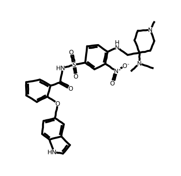 CN1CCC(CNc2ccc(S(=O)(=O)NC(=O)c3ccccc3Oc3ccc4[nH]ccc4c3)cc2[N+](=O)[O-])(N(C)C)CC1